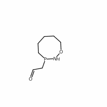 O=CCP1CCCCCON1